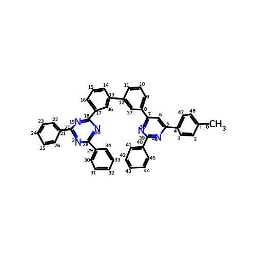 Cc1ccc(-c2cc(-c3cccc(-c4cccc(-c5nc(-c6ccccc6)nc(-c6ccccc6)n5)c4)c3)nc(-c3ccccc3)n2)cc1